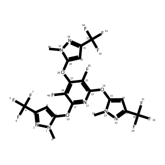 Cn1nc(C(F)(F)F)cc1Oc1nc(Oc2cc(C(F)(F)F)nn2C)c(F)c(Oc2cc(C(F)(F)F)nn2C)c1F